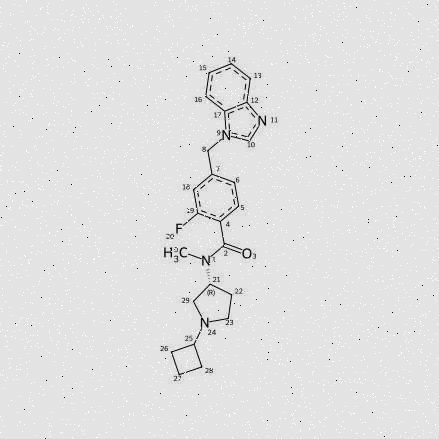 CN(C(=O)c1ccc(Cn2cnc3ccccc32)cc1F)[C@@H]1CCN(C2CCC2)C1